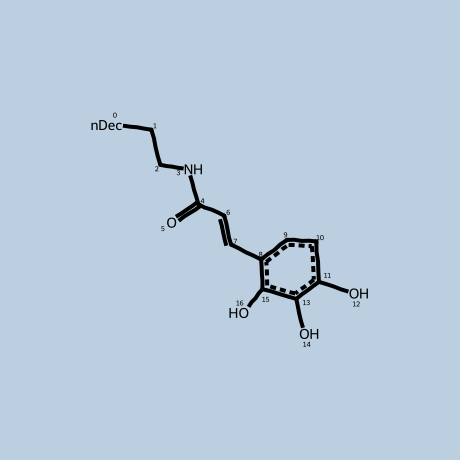 CCCCCCCCCCCCNC(=O)/C=C/c1ccc(O)c(O)c1O